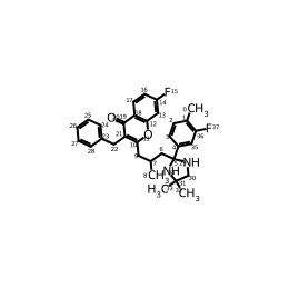 Cc1ccc(C2(CC(C)Cc3oc4cc(F)ccc4c(=O)c3Cc3ccccc3)NCC(C)(C)N2)cc1F